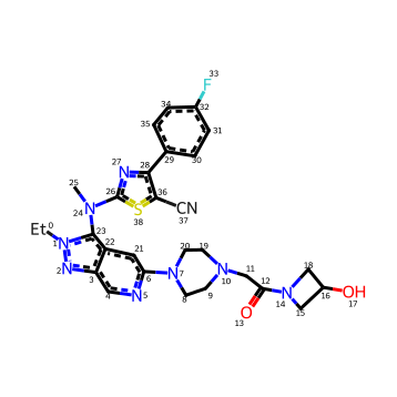 CCn1nc2cnc(N3CCN(CC(=O)N4CC(O)C4)CC3)cc2c1N(C)c1nc(-c2ccc(F)cc2)c(C#N)s1